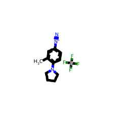 Cc1cc([N+]#N)ccc1N1CCCC1.F[B-](F)(F)F